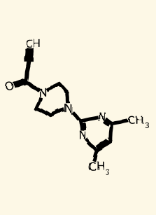 C#CC(=O)N1CCN(c2nc(C)cc(C)n2)CC1